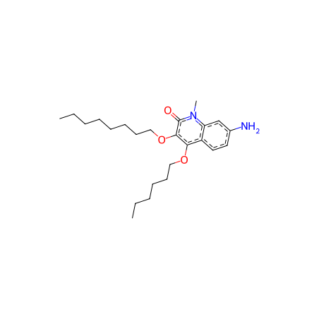 CCCCCCCCOc1c(OCCCCCC)c2ccc(N)cc2n(C)c1=O